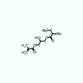 C=C(C)C(=O)OCC(O)COC(=O)C(CC(C)(C)C)C(C)(C)C